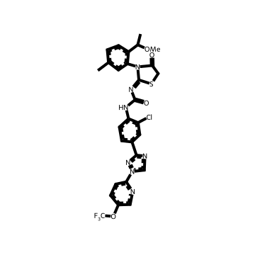 COC(C)c1ccc(C)cc1N1C(=O)CS/C1=N\C(=O)Nc1ccc(-c2ncn(-c3ccc(OC(F)(F)F)cn3)n2)cc1Cl